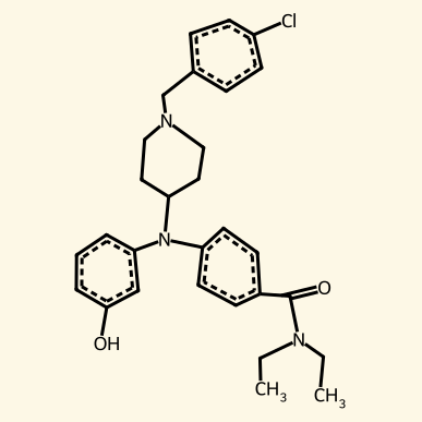 CCN(CC)C(=O)c1ccc(N(c2cccc(O)c2)C2CCN(Cc3ccc(Cl)cc3)CC2)cc1